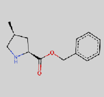 C[C@@H]1CN[C@H](C(=O)OCc2ccccc2)C1